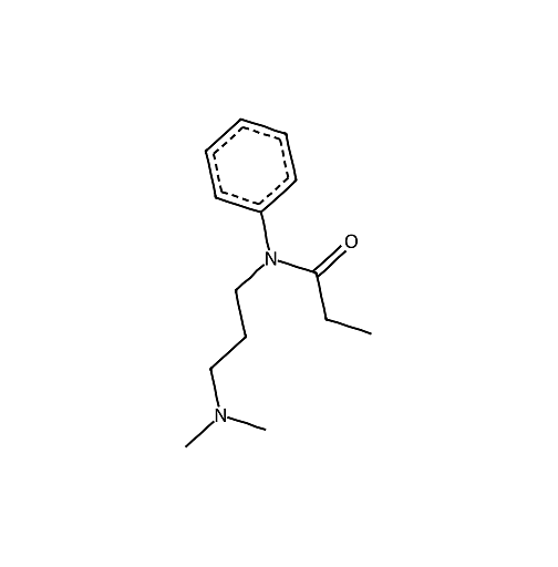 CCC(=O)N(CCCN(C)C)c1ccccc1